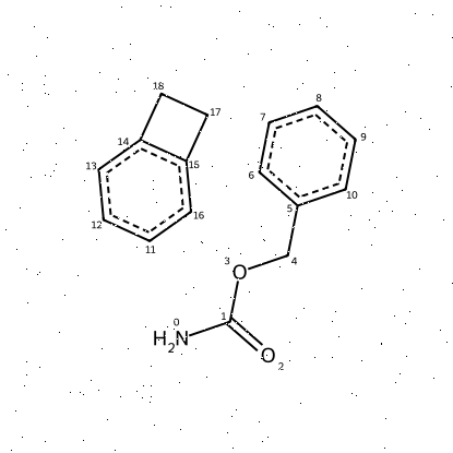 NC(=O)OCc1ccccc1.c1ccc2c(c1)CC2